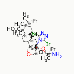 CC(C)[C@@H](C)[C@@]1(C)CC[C@]2(C)[C@H]3CC[C@@H]4[C@@]5(COC[C@]4(C)[C@@H](OC[C@](C)(N)C(C)C)[C@H](n4c(Br)nnc4Br)C5)C3=CC[C@@]2(C)[C@@H]1C(=O)O